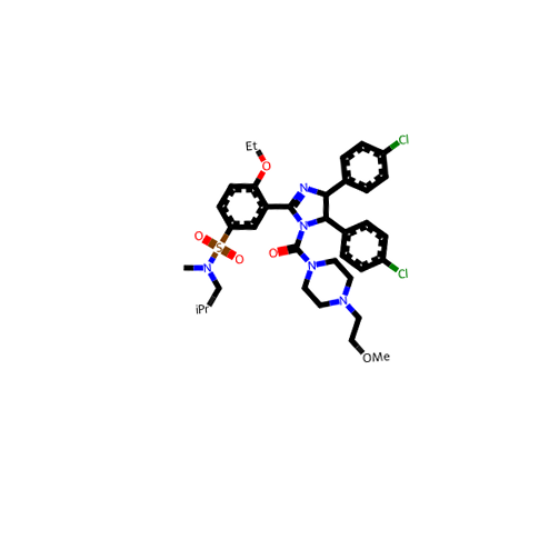 CCOc1ccc(S(=O)(=O)N(C)CC(C)C)cc1C1=NC(c2ccc(Cl)cc2)C(c2ccc(Cl)cc2)N1C(=O)N1CCN(CCOC)CC1